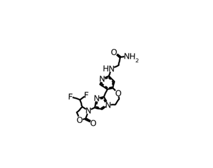 NC(=O)CNc1cc2c(cn1)-c1nc(N3C(=O)OCC3C(F)F)cn1CCO2